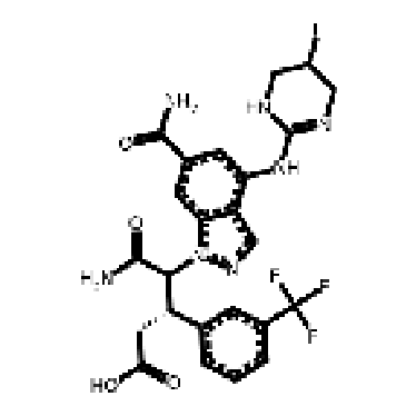 NC(=O)c1cc(NC2=NCC(F)CN2)c2cnn(C(C(N)=O)[C@@H](CC(=O)O)c3cccc(C(F)(F)F)c3)c2c1